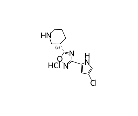 Cl.Clc1c[nH]c(-c2noc([C@H]3CCCNC3)n2)c1